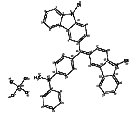 CCn1c2ccccc2c2cc(C(c3ccc(N(C)c4ccccc4)cc3)=c3ccc4c(c3)-c3ccccc3[N+]=4CC)ccc21.[O-][Cl+3]([O-])([O-])[O-]